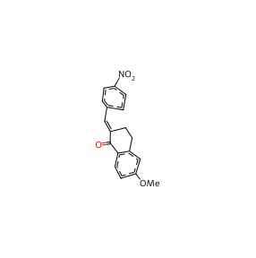 COc1ccc2c(c1)CCC(=Cc1ccc([N+](=O)[O-])cc1)C2=O